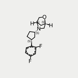 Fc1ccc([C@H]2CC[C@H](N3C[C@@H]4C[C@H]3CO4)C2)c(F)c1